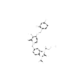 CC(=O)n1c(=O)n(C(=O)CO)c2cc(Cn3ccc(OCc4ccc(F)cc4F)c(Cl)c3=O)ccc21